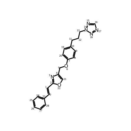 C(=C\c1nc(COc2ccc(CCCn3ncnn3)cc2)co1)/c1ccccc1